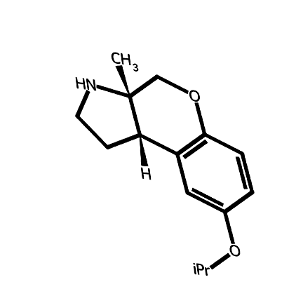 CC(C)Oc1ccc2c(c1)[C@@H]1CCN[C@]1(C)CO2